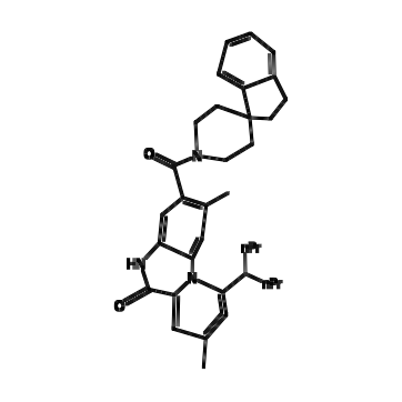 CCCC(CCC)C1=C=C(C)C=C2C(=O)Nc3cc(C(=O)N4CCC5(CCc6ccccc65)CC4)c(C)cc3N12